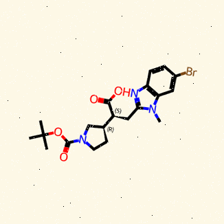 Cn1c(C[C@H](C(=O)O)[C@H]2CCN(C(=O)OC(C)(C)C)C2)nc2ccc(Br)cc21